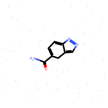 NC(=O)C1=CC=C2N=NC=C2C1